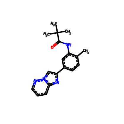 Cc1ccc(-c2cn3ncccc3n2)cc1NC(=O)C(C)(C)C